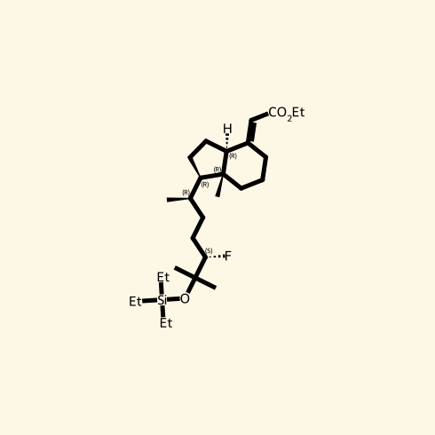 CCOC(=O)C=C1CCC[C@]2(C)[C@@H]([C@H](C)CC[C@H](F)C(C)(C)O[Si](CC)(CC)CC)CC[C@@H]12